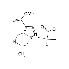 COC(=O)c1cnn2c1CN[C@@H](C)C2.O=C(O)C(F)(F)F